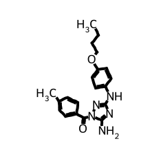 CCCCOc1ccc(Nc2nc(N)n(C(=O)c3ccc(C)cc3)n2)cc1